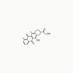 C=C1c2c(C)cccc2C(=O)c2c(O)c3c(c(C)c21)CCC(C(=O)CO)C3